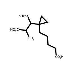 CCCCCCCC(C(C)C(=O)O)C1(CCCCC(=O)O)CC1